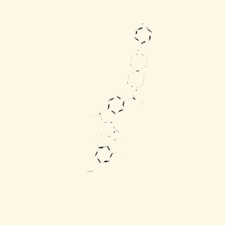 COc1cc(C)c(S(=O)(=O)NC2CC(C)(C)c3ccc(C(=O)N4CCC5(CC4)CCN(c4ccncc4)CC5)cc32)c(C)c1